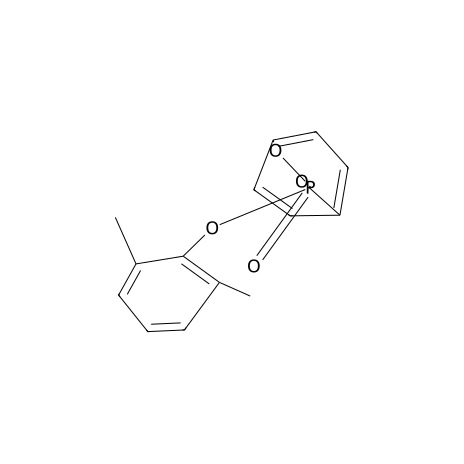 Cc1cccc(C)c1OP1(=O)Oc2ccc(cc2)O1